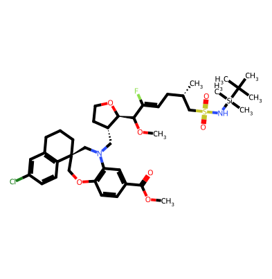 COC(=O)c1ccc2c(c1)N(C[C@@H]1CCO[C@H]1C(OC)/C(F)=C/C[C@H](C)CS(=O)(=O)N[Si](C)(C)C(C)(C)C)C[C@@]1(CCCc3cc(Cl)ccc31)CO2